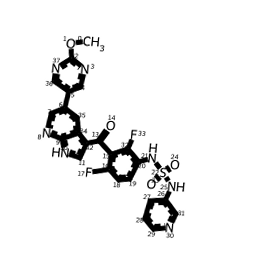 COc1ncc(-c2cnc3[nH]cc(C(=O)c4c(F)ccc(NS(=O)(=O)Nc5cccnc5)c4F)c3c2)cn1